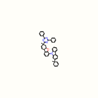 CC1(c2ccc3c4ccccc4n(-c4cccc5c4OC4CC(C)(c6nc(-c7ccccc7)nc(-c7ccccc7)n6)C=CC54)c3c2)C=CC=CC1